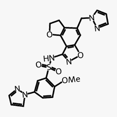 COc1ccc(-n2cccn2)cc1S(=O)(=O)Nc1noc2cc(Cn3cccn3)c3c(c12)OCC3